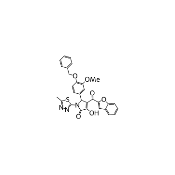 COc1cc(C2C(C(=O)c3cc4ccccc4o3)=C(O)C(=O)N2c2nnc(C)s2)ccc1OCc1ccccc1